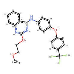 COCCOc1nc(Nc2ccc(Oc3ccc(C(F)(F)F)cc3)cc2)c2ccccc2n1